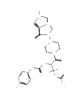 CN1C=C2C(=O)N(N3CCN(C(=O)C(NC(=O)Nc4ccc(Cl)cc4)C(C)(C)OC(N)=O)CC3)CN2C1